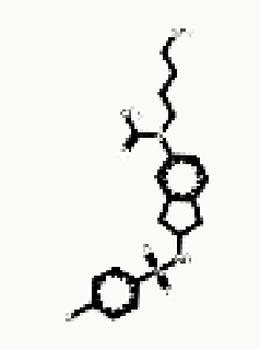 [CH2]CCCCN(C(C)=O)c1ccc2c(c1)CC(NS(=O)(=O)c1ccc(Cl)cc1)C2